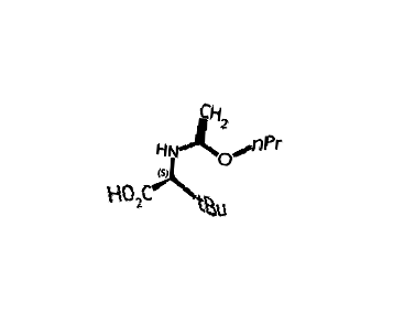 C=C(N[C@H](C(=O)O)C(C)(C)C)OCCC